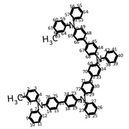 Cc1cccc(N(c2ccccc2)c2ccc(-c3ccc(N(c4ccccc4)c4ccc(-c5ccc(N(c6ccccc6)c6ccc(-c7ccc(N(c8ccccc8)c8cccc(C)c8)cc7)cc6)cc5)cc4)cc3)cc2)c1